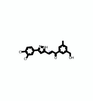 Cc1cc(CO)cc(C(=O)/C=C/c2cc(-c3ccc(Cl)c(Cl)c3)n[nH]2)c1